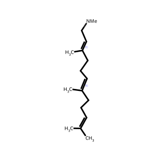 CNC/C=C(\C)CC/C=C(\C)CCC=C(C)C